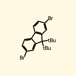 CC(C)(C)C1(C(C)(C)C)c2cc(Br)ccc2-c2ccc(Br)cc21